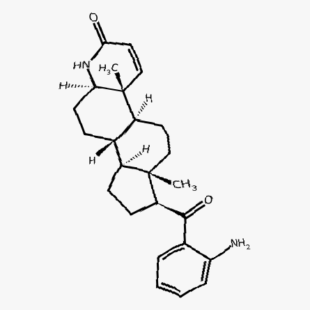 C[C@]12C=CC(=O)N[C@@H]1CC[C@@H]1[C@@H]2CC[C@]2(C)[C@@H](C(=O)c3ccccc3N)CC[C@@H]12